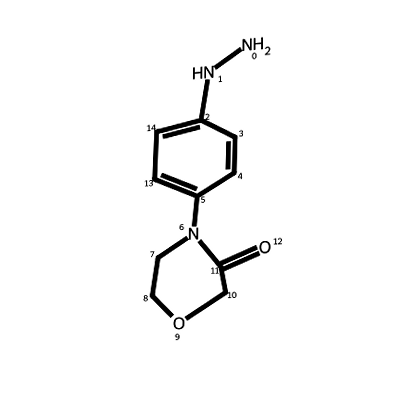 NNc1ccc(N2CCOCC2=O)cc1